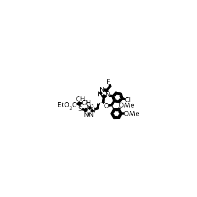 CCOC(=O)C(C)(C)Sc1nnn(CC[C@H]2O[C@H](c3cccc(OC)c3OC)c3cc(Cl)ccc3-n3c(CF)nnc32)n1